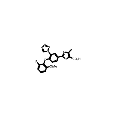 COc1cccc(F)c1Oc1ccc(-c2nc(C)c(C(=O)O)s2)cc1-n1cnnn1